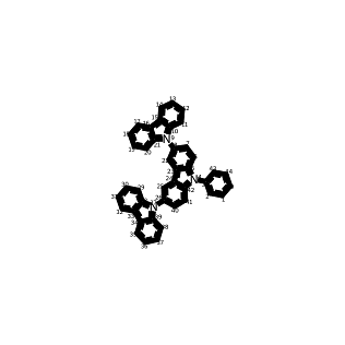 c1ccc(-n2c3ccc(-n4c5ccccc5c5ccccc54)cc3c3cc(-n4c5ccccc5c5ccccc54)ccc32)cc1